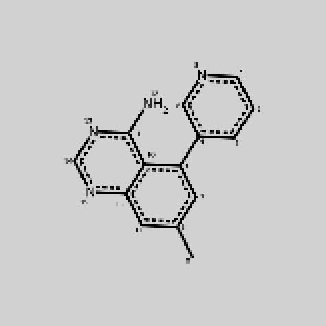 Cc1cc(-c2cccnc2)c2c(N)ncnc2c1